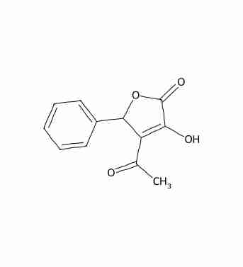 CC(=O)C1=C(O)C(=O)OC1c1ccccc1